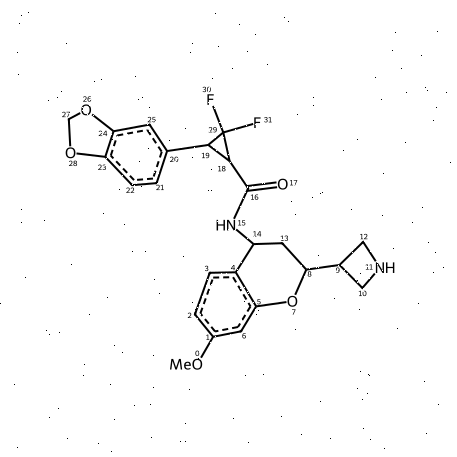 COc1ccc2c(c1)OC(C1CNC1)CC2NC(=O)C1C(c2ccc3c(c2)OCO3)C1(F)F